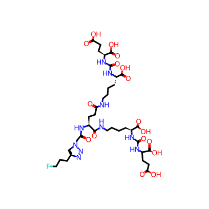 O=C(O)CCC(NC(=O)N[C@@H](CCCCNC(=O)[C@H](CCC(=O)NCCCC[C@H](NC(=O)N[C@@H](CCC(=O)O)C(=O)O)C(=O)O)NC(=O)Cn1cc(CCCF)nn1)C(=O)O)C(=O)O